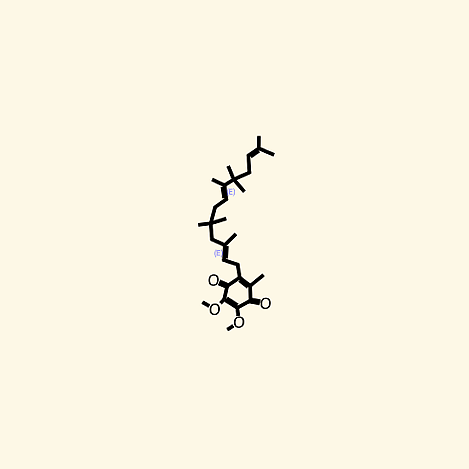 COC1=C(OC)C(=O)C(C/C=C(\C)CC(C)(C)C/C=C(\C)C(C)(C)CC=C(C)C)=C(C)C1=O